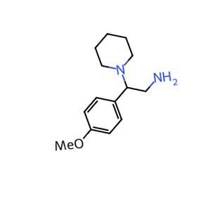 COc1ccc(C(CN)N2CCCCC2)cc1